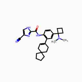 CN(C)C1(c2ccc(NC(=O)c3nc(C#N)c[nH]3)c(C3=CCC4(CCCC4)CC3)c2)CCC1